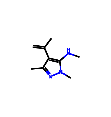 C=C(C)c1c(C)nn(C)c1NC